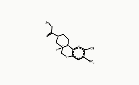 CC(C)(C)OC(=O)N1CCN2c3nc(C#N)c([N+](=O)[O-])cc3OC[C@@H]2C1